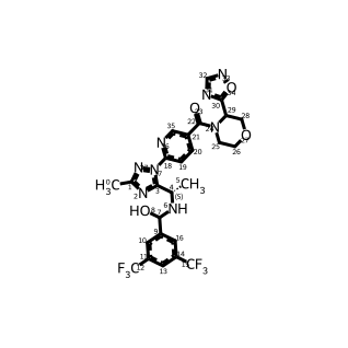 Cc1nc([C@H](C)NC(O)c2cc(C(F)(F)F)cc(C(F)(F)F)c2)n(-c2ccc(C(=O)N3CCOCC3c3ncno3)cn2)n1